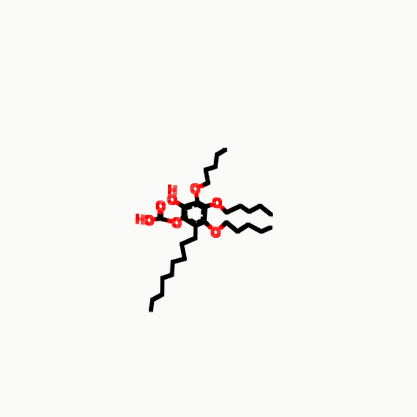 CCCCCCCCCc1c(OC(=O)O)c(O)c(OCCCCC)c(OCCCCC)c1OCCCCC